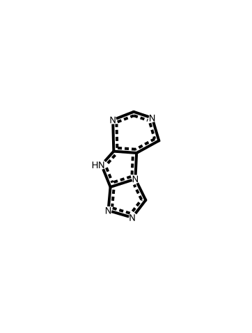 c1ncc2c(n1)[nH]c1nncn12